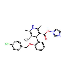 CC1=C(C(=O)On2ccnc2)C(c2ccccc2OCc2ccc(Cl)cc2)C([N+](=O)[O-])=C(C)N1